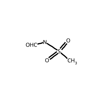 CS(=O)(=O)[N]C=O